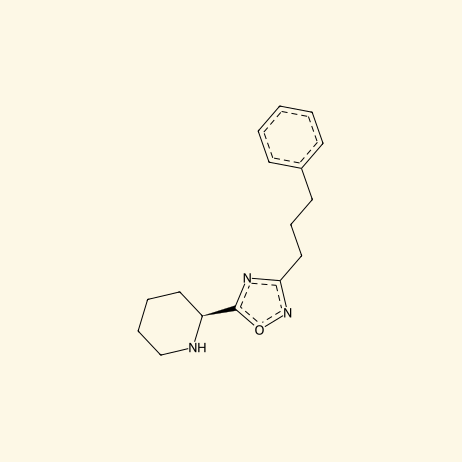 c1ccc(CCCc2noc([C@@H]3CCCCN3)n2)cc1